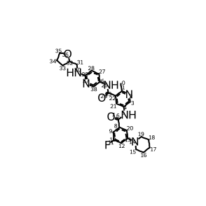 Cc1ncc(NC(=O)c2cc(F)cc(N3CCCCC3)c2)cc1C(=O)Nc1ccc(NCC2CCCO2)nc1